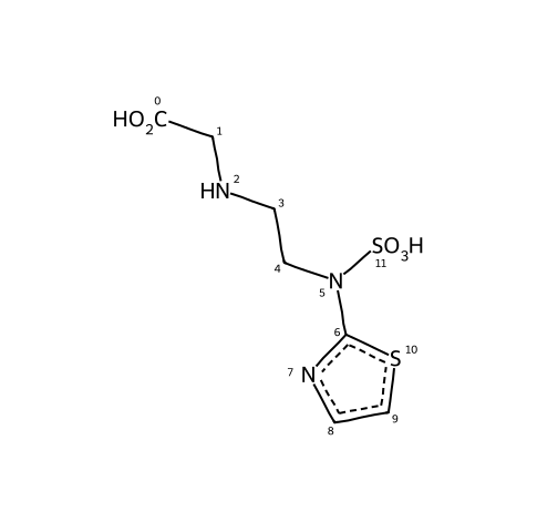 O=C(O)CNCCN(c1nccs1)S(=O)(=O)O